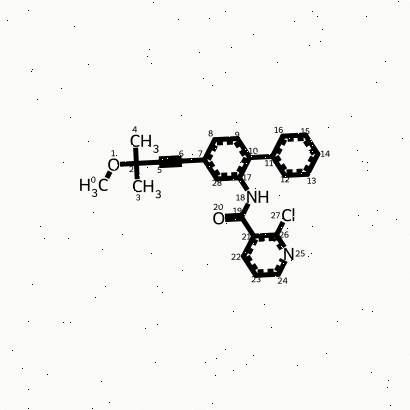 COC(C)(C)C#Cc1ccc(-c2ccccc2)c(NC(=O)c2cccnc2Cl)c1